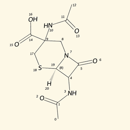 CC(=O)NC1C(=O)N2CC(NC(C)=O)(C(=O)O)CS[C@H]12